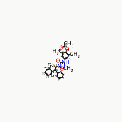 COc1ccccc1C1=C(NC(=O)Nc2cc(C)c(OC(C)=O)c(C)c2)SCc2ccccc21